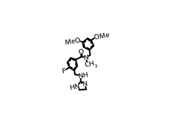 COc1cc(CN(C)C(=O)c2ccc(F)c(CNC3=NCCN3)c2)cc(OC)c1